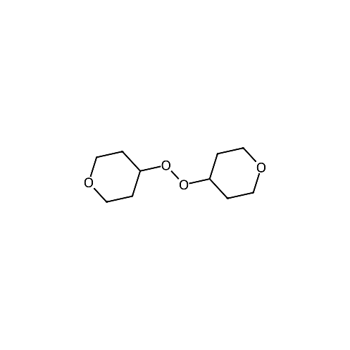 C1CC(OOC2CCOCC2)CCO1